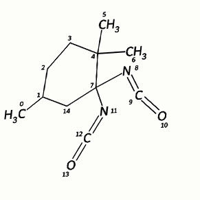 CC1CCC(C)(C)C(N=C=O)(N=C=O)C1